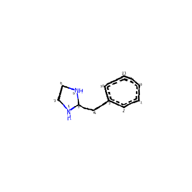 [c]1ccc(CC2NCCN2)cc1